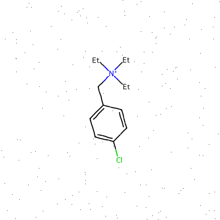 CC[N+](CC)(CC)Cc1ccc(Cl)cc1